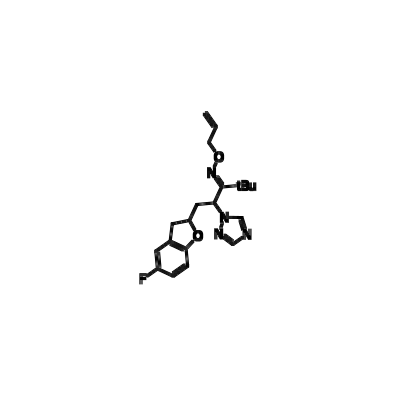 C=CCON=C(C(CC1Cc2cc(F)ccc2O1)n1cncn1)C(C)(C)C